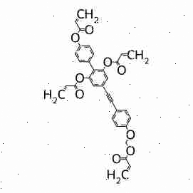 C=CC(=O)OCOc1ccc(C#Cc2cc(OC(=O)C=C)c(-c3ccc(OC(=O)C=C)cc3)c(OC(=O)C=C)c2)cc1